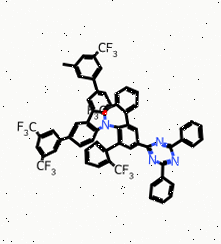 Cc1cc(-c2ccc3c(c2)c2cc(-c4cc(C(F)(F)F)cc(C(F)(F)F)c4)ccc2n3-c2c(-c3ccccc3C(F)(F)F)cc(-c3nc(-c4ccccc4)nc(-c4ccccc4)n3)cc2-c2ccccc2C(F)(F)F)cc(C(F)(F)F)c1